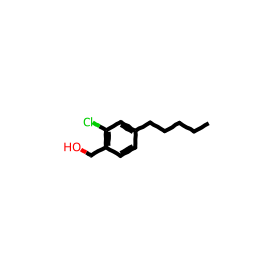 CCCCCc1ccc(CO)c(Cl)c1